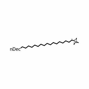 CCCCCCCCCCCCCCCCCCCCCCCCCC[CH][Si](C)(C)C